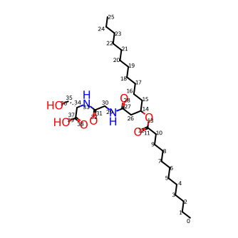 CCCCCCCCCCCC(=O)OC(CCCCCCCCCCC)CC(=O)NCC(=O)N[C@@H](CO)C(=O)O